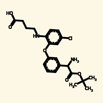 CC(C)(C)OC(=O)C(N)c1cccc(Oc2cc(Cl)ccc2NCCCC(=O)O)c1